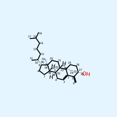 C=C1C2=CC[C@H]3[C@@H]4CC[C@H](C(C)CCCC(C)C)[C@@]4(C)CC[C@@H]3[C@@]2(C)CC[C@@H]1O